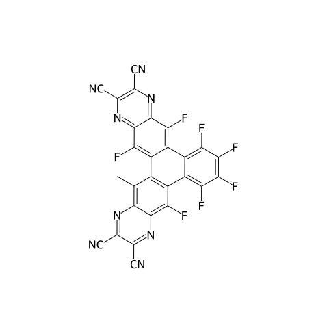 Cc1c2nc(C#N)c(C#N)nc2c(F)c2c3c(F)c(F)c(F)c(F)c3c3c(F)c4nc(C#N)c(C#N)nc4c(F)c3c12